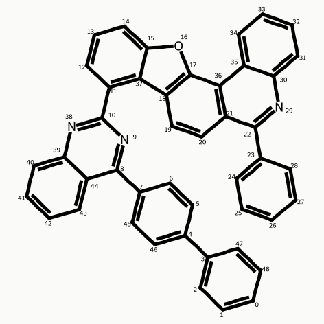 c1ccc(-c2ccc(-c3nc(-c4cccc5oc6c(ccc7c(-c8ccccc8)nc8ccccc8c76)c45)nc4ccccc34)cc2)cc1